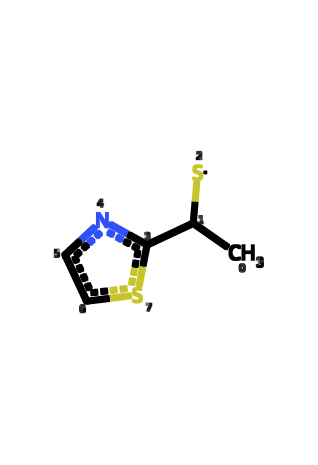 CC([S])c1nccs1